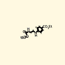 CCOC(=O)C1C=CC(NCCNC(=O)OC(C)(C)C)=CC1